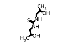 CC(O)CNC(=S)NCC(C)O